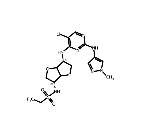 Cn1cc(Nc2ncc(Cl)c(N[C@H]3COC4C3OC[C@H]4NS(=O)(=O)CC(F)(F)F)n2)cn1